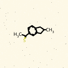 CC(=S)c1ccc2c(c1)CC(C)C2